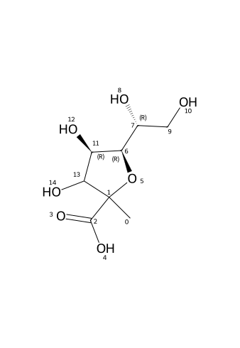 CC1(C(=O)O)O[C@H]([C@H](O)CO)[C@H](O)C1O